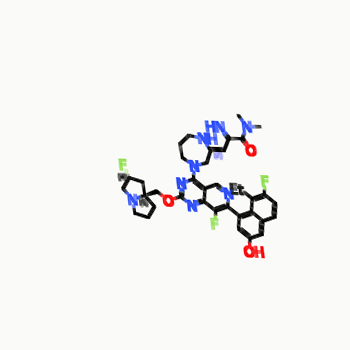 CCc1c(F)ccc2cc(O)cc(-c3ncc4c(N5CCCN/C(=C\C(=N)C(=O)N(C)C)C5)nc(OC[C@@]56CCCN5C[C@H](F)C6)nc4c3F)c12